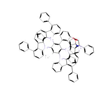 N#Cc1c(-n2c3ccccc3c3c(-c4ccccc4)cccc32)c(-n2c3ccccc3c3c(-c4ccccc4)cccc32)c(-c2cccc3oc4ncccc4c23)c(-n2c3ccccc3c3c(-c4ccccc4)cccc32)c1-n1c2ccccc2c2c(-c3ccccc3)cccc21